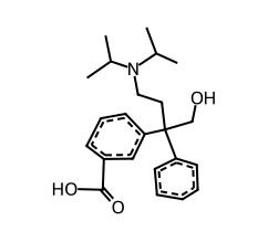 CC(C)N(CCC(CO)(c1ccccc1)c1cccc(C(=O)O)c1)C(C)C